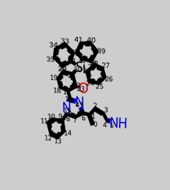 C=C(/C=C\C=N)c1cc(-c2ccccc2)nc(-c2cccc3c2Oc2ccccc2[Si]3(c2ccccc2)c2ccccc2)n1